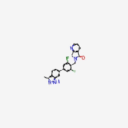 Cc1n[nH]c2cc(-c3cc(F)c(CN4Cc5ncccc5C4=O)c(F)c3)ccc12